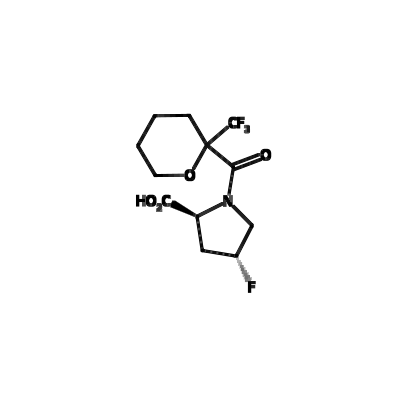 O=C(O)[C@@H]1C[C@@H](F)CN1C(=O)C1(C(F)(F)F)CCCCO1